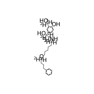 [2H]C([2H])(CCCCCOC([2H])([2H])CCCc1ccccc1)NC([2H])([2H])C([2H])(O)c1ccc(O)c(C([2H])([2H])O)c1